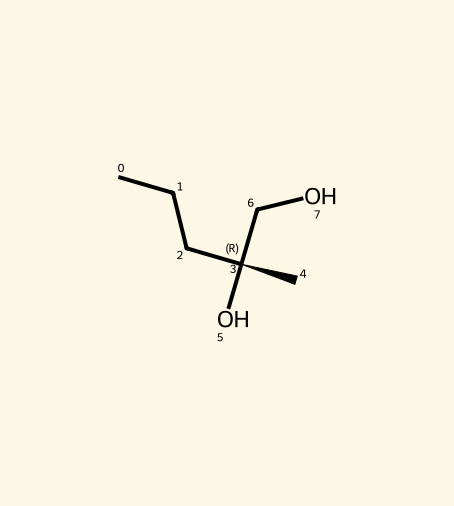 CCC[C@@](C)(O)CO